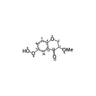 COC1COc2ccc(OO)cc2C1=O